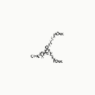 CCCCCCCCCCCCCCCCCCOc1cc(CCCCCCCCCCCCCCC)cc(-c2ccc(C=O)cc2)c1